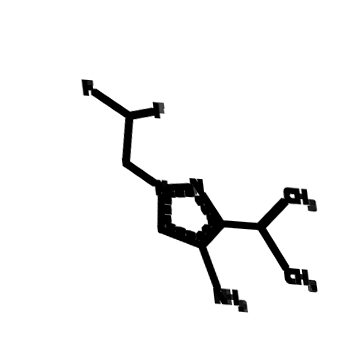 CC(C)c1nn(CC(F)F)cc1N